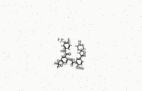 COc1ccc(C2=NOC3(CCNCC3)C2)cc1C(=O)Nc1cc2c(cc1C(=O)Nc1ccc(F)c(C(F)(F)F)c1)OC(F)(F)O2